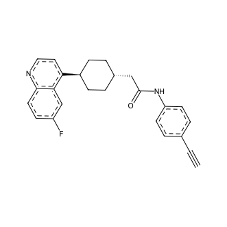 C#Cc1ccc(NC(=O)C[C@H]2CC[C@H](c3ccnc4ccc(F)cc43)CC2)cc1